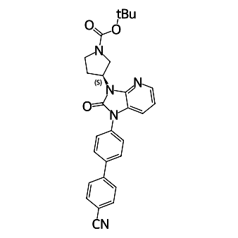 CC(C)(C)OC(=O)N1CC[C@H](n2c(=O)n(-c3ccc(-c4ccc(C#N)cc4)cc3)c3cccnc32)C1